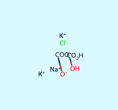 O=C(O)O.O=C([O-])[O-].[Cl-].[K+].[K+].[Na+]